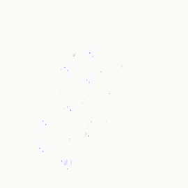 Cc1cc2nc(C(C)Nc3ncnc(N)c3C#N)n(-c3ccccc3)c(=O)n2c1